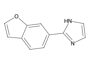 c1c[nH]c(-c2ccc3ccoc3c2)n1